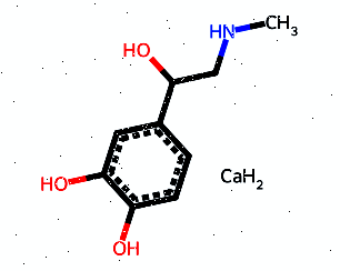 CNCC(O)c1ccc(O)c(O)c1.[CaH2]